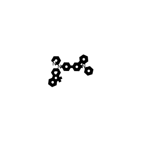 CC1(C)C2=CC(N(c3ccc(-c4ccc5c(c4)c4ccccc4n5-c4ccccc4)cc3)c3ccccn3)=CCC2c2ccccc21